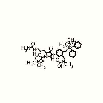 CN(Cc1cc(NC(=O)C(CCCNC(N)=O)NC(=O)OC(C)(C)C)ccc1CO[Si](c1ccccc1)(c1ccccc1)C(C)(C)C)C(=O)O